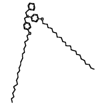 CCCCCCCCCCCCCCCCCCCCCCOc1ccc(CN(Cc2ccccc2)c2ccc(OCCCCCCCCCCCCCCCCCCCCCC)cc2)cc1